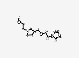 COCCN1CCC(COCCn2ccnc2)C1